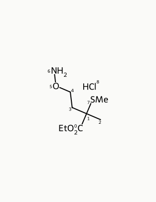 CCOC(=O)C(C)(CCON)SC.Cl